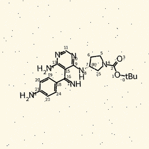 CC(C)(C)OC(=O)N1CC[C@@H](Nc2ncnc(N)c2C(=N)c2ccc(N)cc2)C1